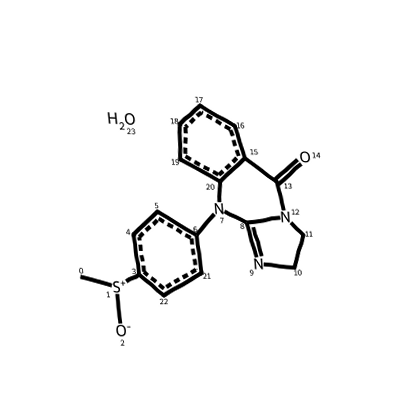 C[S+]([O-])c1ccc(N2C3=NCCN3C(=O)c3ccccc32)cc1.O